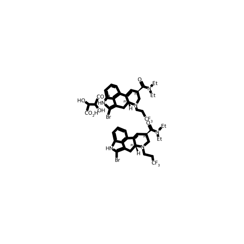 CCN(CC)C(=O)[C@@H]1C=C2c3cccc4[nH]c(Br)c(c34)C[C@H]2N(CCC(F)(F)F)C1.CCN(CC)C(=O)[C@@H]1C=C2c3cccc4[nH]c(Br)c(c34)C[C@H]2N(CCC(F)(F)F)C1.O=C(O)C(O)C(O)C(=O)O